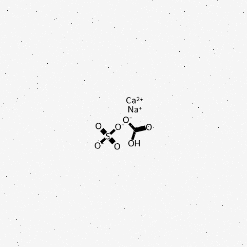 O=C([O-])O.O=S(=O)([O-])[O-].[Ca+2].[Na+]